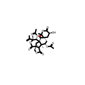 C=C1[C@]2(C[C@H](OC(C)=O)[C@@]3(C)[C@@]4(C)C(=O)OC[C@@]45C[C@@]13[C@@H](OC(C)=O)[C@@](C)(C(=C)C)OC5=O)C[C@H](O)C(=O)OC2(C)C